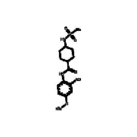 CCCCOc1ccc(NC(=O)C2CCC(NS(=O)(=O)C(C)(C)C)CC2)c(N=O)c1